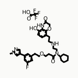 Cn1cc(-c2cc(F)cc(CCOCCC(=O)N(CCNCCc3ccc(O)c4c3OCC(=O)N4)C3CCCCC3)c2)cn1.O=C(O)C(F)(F)F